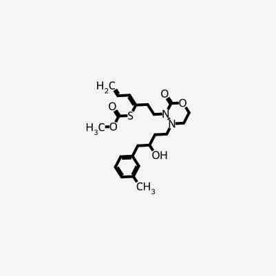 C=C/C=C(/CCN1C(=O)OCCN1CCC(O)Cc1cccc(C)c1)SC(=O)OC